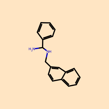 NC(NCc1ccc2ccccc2c1)c1ccccc1